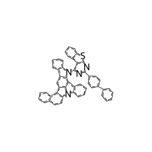 c1ccc(-c2ccc(-c3nc(-n4c5ccccc5c5cc6c7c8ccccc8ccc7n7c8ccccc8c(c54)c67)c4c(n3)sc3ccccc34)cc2)cc1